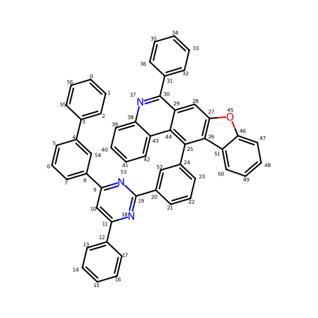 c1ccc(-c2cccc(-c3cc(-c4ccccc4)nc(-c4cccc(-c5c6c(cc7c(-c8ccccc8)nc8ccccc8c57)oc5ccccc56)c4)n3)c2)cc1